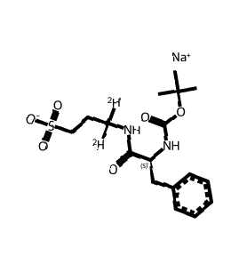 [2H]C([2H])(CCS(=O)(=O)[O-])NC(=O)[C@H](Cc1ccccc1)NC(=O)OC(C)(C)C.[Na+]